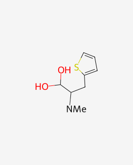 CNC(Cc1cccs1)C(O)O